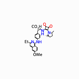 CCc1cc2cc(OC)ccc2c(Nc2ccc(CC(Nc3c(N4C(C)CC[C@@H]4C)c(=O)c3=O)C(=O)O)cc2)n1